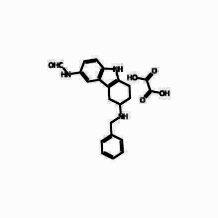 O=C(O)C(=O)O.O=CNc1ccc2[nH]c3c(c2c1)CC(NCc1ccccc1)CC3